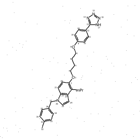 CCCc1c(OCCCCOc2ccc(-c3nnn[nH]3)cc2)ccc2c1ccn2Cc1ccc(C)cc1